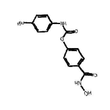 CC(C)(C)c1ccc(NC(=O)Oc2ccc(C(=O)NO)cc2)cc1